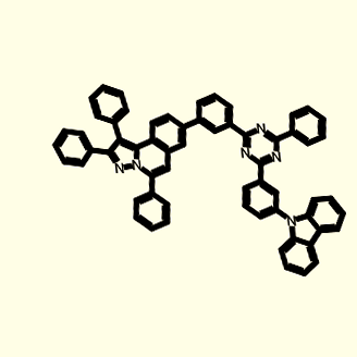 c1ccc(-c2nc(-c3cccc(-c4ccc5c(c4)cc(-c4ccccc4)n4nc(-c6ccccc6)c(-c6ccccc6)c54)c3)nc(-c3cccc(-n4c5ccccc5c5ccccc54)c3)n2)cc1